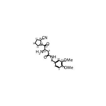 COc1ccc(CNC(=O)CC(N)C(=O)N2CCC[C@H]2C#N)cc1OC